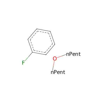 CCCCCOCCCCC.Fc1ccccc1